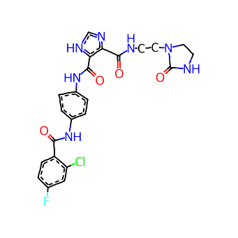 O=C(Nc1ccc(NC(=O)c2[nH]cnc2C(=O)NCCN2CCNC2=O)cc1)c1ccc(F)cc1Cl